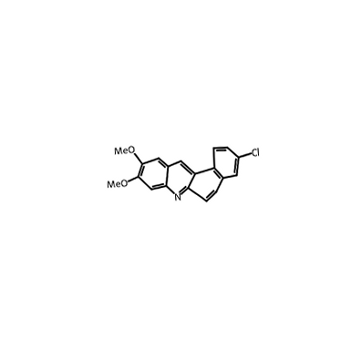 COc1cc2cc3c(ccc4cc(Cl)ccc43)nc2cc1OC